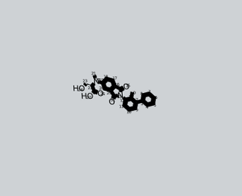 Cc1c(-c2ccccc2)cccc1N1C(=O)c2ccc(N(C)[C@@H](CO)C(=O)O)cc2C1=O